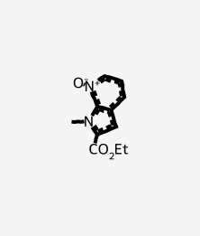 CCOC(=O)c1cc2ccc[n+]([O-])c2n1C